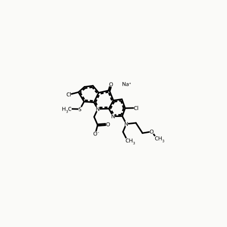 CCN(CCOC)c1nc2c(cc1Cl)c(=O)c1ccc(Cl)c(SC)c1n2CC(=O)[O-].[Na+]